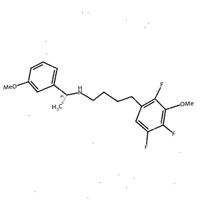 COc1cccc([C@@H](C)NCCCCc2cc(F)c(F)c(OC)c2F)c1